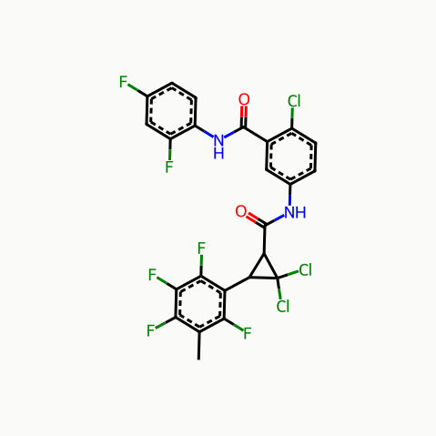 Cc1c(F)c(F)c(F)c(C2C(C(=O)Nc3ccc(Cl)c(C(=O)Nc4ccc(F)cc4F)c3)C2(Cl)Cl)c1F